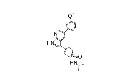 COc1cccc(-c2cnc3[nH]cc(C4=CCN(C(=O)NC(C)C)CC4)c3c2)c1